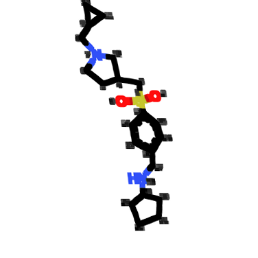 O=S(=O)(CC1CCN(CC2CC2)C1)c1ccc(CNC2CCCC2)cc1